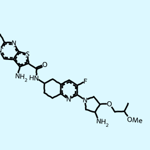 COC(C)COC1CN(c2nc3c(cc2F)CC(NC(=O)c2sc4nc(C)ncc4c2N)CC3)CC1N